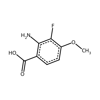 COc1ccc(C(=O)O)c(N)c1F